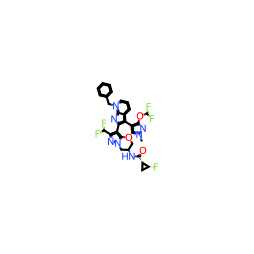 Cn1cc(-c2c3cccn(Cc4ccccc4)c-3nc2-c2c(C(F)F)nn3c2OC[C@@H](NC(=O)[C@H]2C[C@H]2F)C3)c(OC(F)F)n1